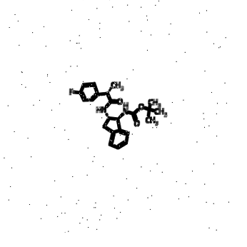 C[C@H](C(=O)N[C@H]1Cc2ccccc2[C@@H]1NC(=O)OC(C)(C)C)c1ccc(F)cc1